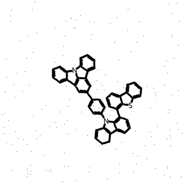 C1=Cc2c(c3cccc(-c4cccc5c4sc4ccccc45)c3n2-c2ccc(-c3cc4c5ccccc5n5c6ccccc6c(c3)c45)cc2)CC1